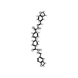 O=C(N/N=C/c1ccc2c(c1)CCO2)c1ccc(-c2ccc(C(=O)N/N=C/c3ccc4c(c3)CCO4)cc2)cc1